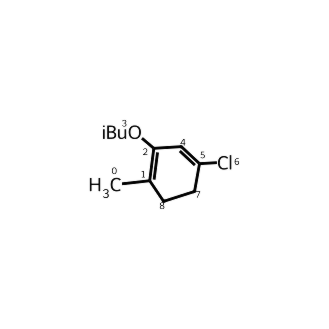 CC1=C(OCC(C)C)C=C(Cl)CC1